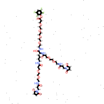 O=C(CCOCCOCCNC(=O)CCN1C(=O)C=CC1=O)NCCCC[C@H](NC(=O)CCOCCOCCNC(=O)CCN1C(=O)C=CC1=O)C(O)NCCOCCOCCOCCOCCC(=O)Oc1c(F)c(F)cc(F)c1F